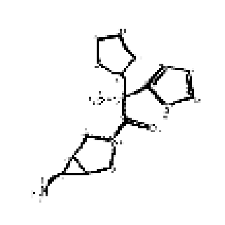 NC1C2CN(C(=O)[C@](O)(c3cccs3)C3CCCC3)CC12